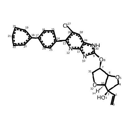 C=C[C@@]1(O)COC2[C@H](Oc3nc4nc(-c5ccc(-c6ccccc6)cc5)c(Cl)cc4[nH]3)CO[C@@H]21